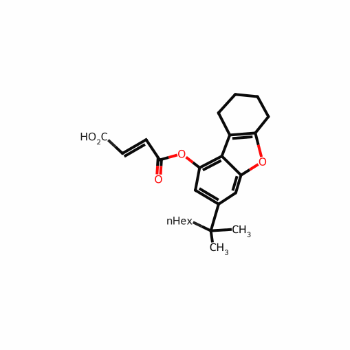 CCCCCCC(C)(C)c1cc(OC(=O)C=CC(=O)O)c2c3c(oc2c1)CCCC3